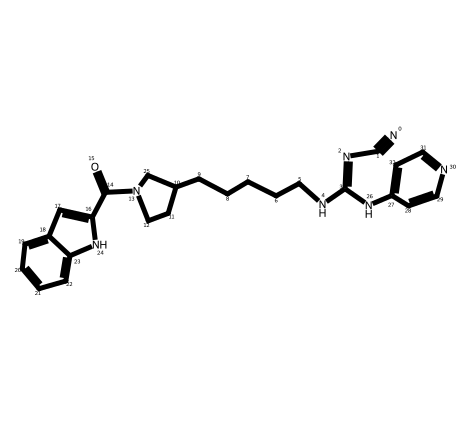 N#CN=C(NCCCCCC1CCN(C(=O)c2cc3ccccc3[nH]2)C1)Nc1ccncc1